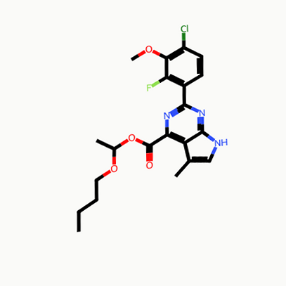 CCCCOC(C)OC(=O)c1nc(-c2ccc(Cl)c(OC)c2F)nc2[nH]cc(C)c12